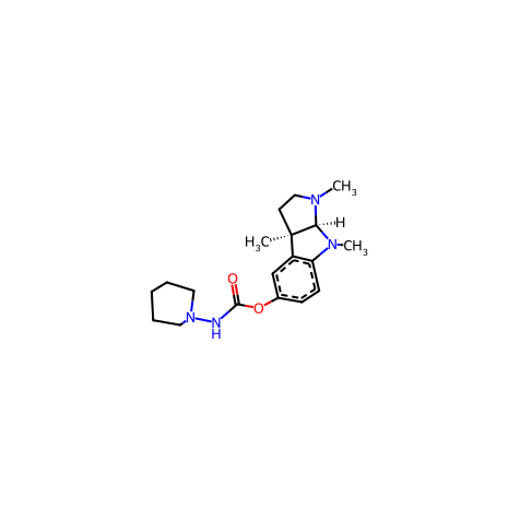 CN1CC[C@]2(C)c3cc(OC(=O)NN4CCCCC4)ccc3N(C)[C@H]12